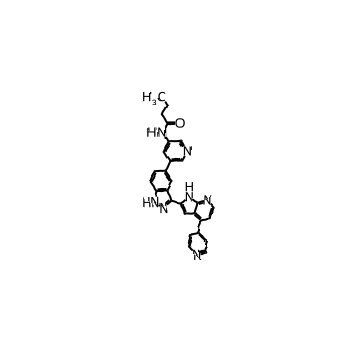 CCCC(=O)Nc1cncc(-c2ccc3[nH]nc(-c4cc5c(-c6ccncc6)ccnc5[nH]4)c3c2)c1